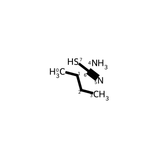 CCCC.N.N#CS